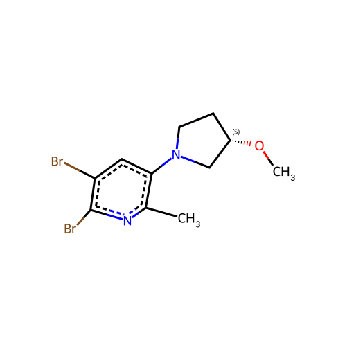 CO[C@H]1CCN(c2cc(Br)c(Br)nc2C)C1